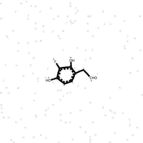 O=CCc1ccc(O)c(F)c1O